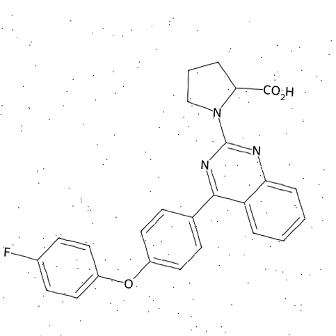 O=C(O)C1CCCN1c1nc(-c2ccc(Oc3ccc(F)cc3)cc2)c2ccccc2n1